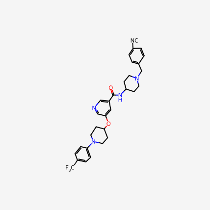 [C-]#[N+]c1ccc(CN2CCC(NC(=O)c3cncc(OC4CCN(c5ccc(C(F)(F)F)cc5)CC4)c3)CC2)cc1